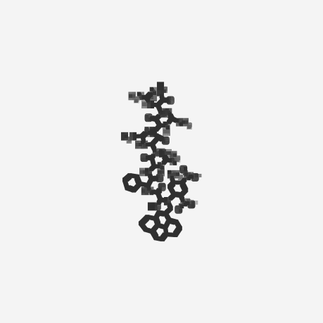 N=C(N)NC(NC(=O)C(NC(=N)N)NC(=O)C(NC(=N)N)NC(=O)C(NC(=N)N)NC(=O)C(NC(=O)C(O)N(CC1=CC2=C3C(=CC=C4C=CC=C1C43)CC=C2)c1cc(N)c([N+](=O)[O-])cc1[N+](=O)[O-])c1ccccc1)C(N)=O